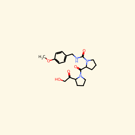 COc1ccc(CNC(=O)N2CCCC2C(=O)N2CCCC2C(=O)CO)cc1